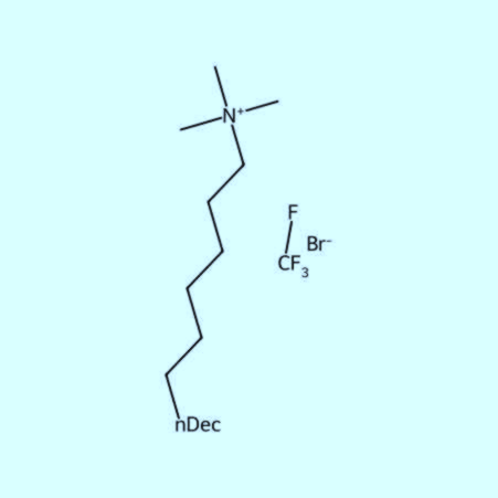 CCCCCCCCCCCCCCCC[N+](C)(C)C.FC(F)(F)F.[Br-]